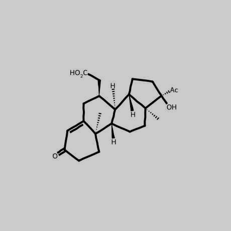 CC(=O)[C@@]1(O)CC[C@H]2[C@@H]3[C@H](CC(=O)O)CC4=CC(=O)CC[C@]4(C)[C@H]3CC[C@@]21C